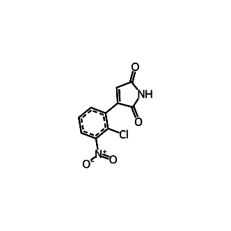 O=C1C=C(c2cccc([N+](=O)[O-])c2Cl)C(=O)N1